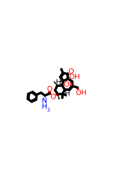 CC1=C[C@H]2[C@@]3(O)[C@H](C)C[C@@](C)(OC(=O)[C@H](N)Cc4ccccc4)C(C)(C)[C@@H]3C=C(CO)C[C@]2(O)C1=O